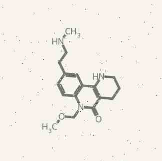 CNCCc1ccc2c(c1)c1c(c(=O)n2COC)CCCN1